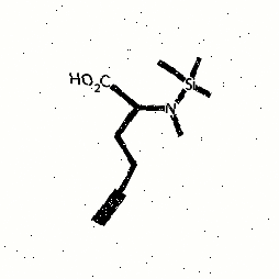 C#CCCC(C(=O)O)N(C)[Si](C)(C)C